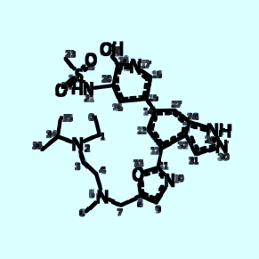 CCN(CCN(C)Cc1cnc(-c2cc(-c3cnc(O)c(NS(C)(=O)=O)c3)cc3[nH]ncc23)o1)C(C)C